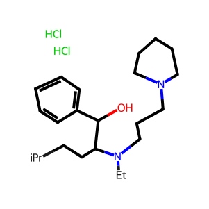 CCN(CCCN1CCCCC1)C(CCC(C)C)C(O)c1ccccc1.Cl.Cl